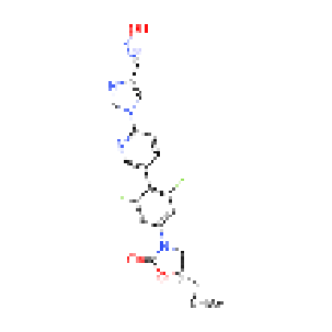 CC(=O)NC[C@H]1CN(c2cc(F)c(-c3ccc(-n4cnc(/C=N/O)c4)nc3)c(F)c2)C(=O)O1